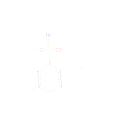 CSc1ccc(C)cc1S(N)(=O)=O